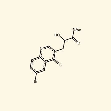 CNC(=O)C(O)Cn1cnc2ccc(Br)cc2c1=O